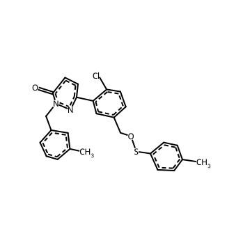 Cc1ccc(SOCc2ccc(Cl)c(-c3ccc(=O)n(Cc4cccc(C)c4)n3)c2)cc1